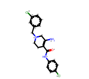 NC1=C(C(=O)Nc2ccc(Cl)cc2)CCN(Cc2cccc(Cl)c2)C1